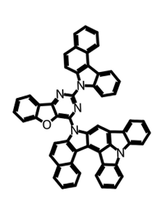 c1ccc2c(c1)ccc1c2c2ccccc2n1-c1nc(-n2c3ccc4ccccc4c3c3c4c5ccccc5n5c6ccccc6c(cc32)c45)c2oc3ccccc3c2n1